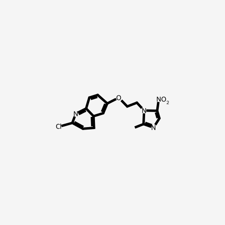 Cc1ncc([N+](=O)[O-])n1CCOc1ccc2nc(Cl)ccc2c1